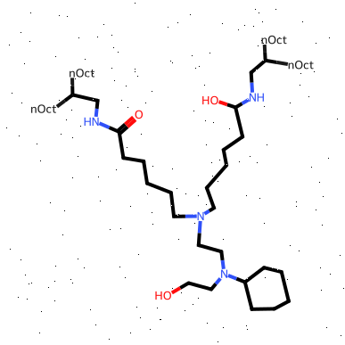 CCCCCCCCC(CCCCCCCC)CNC(=O)CCCCCN(CCCCCC(O)NCC(CCCCCCCC)CCCCCCCC)CCN(CCO)C1CCCCC1